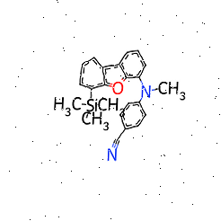 CN(c1ccc(C#N)cc1)c1cccc2c1oc1c([Si](C)(C)C)cccc12